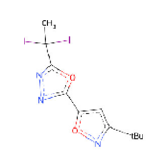 CC(C)(C)c1cc(-c2nnc(C(C)(I)I)o2)on1